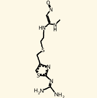 CN/C(=C\N=O)NCCSCc1csc(N=C(N)N)n1